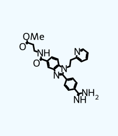 COC(=O)CCNC(=O)c1ccc2c(c1)nc(-c1ccc(C(=N)N)cc1)n2CCc1ccccn1